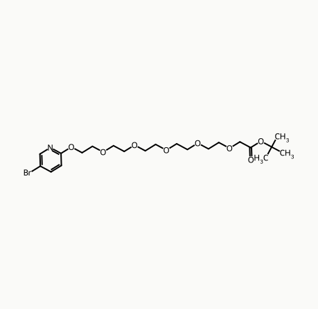 CC(C)(C)OC(=O)COCCOCCOCCOCCOCCOc1ccc(Br)cn1